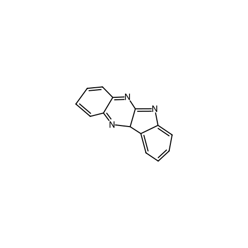 c1ccc2c(c1)N=C1N=c3ccccc3=NC12